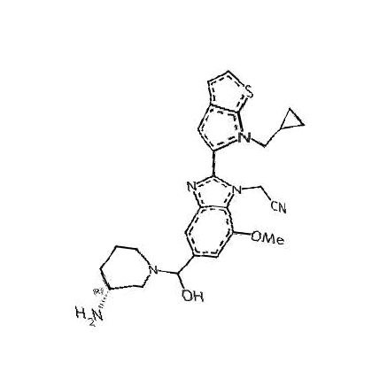 COc1cc(C(O)N2CCC[C@@H](N)C2)cc2nc(-c3cc4ccsc4n3CC3CC3)n(CC#N)c12